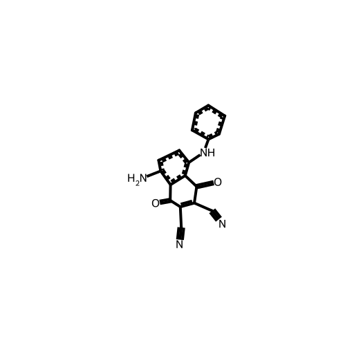 N#CC1=C(C#N)C(=O)c2c(Nc3ccccc3)ccc(N)c2C1=O